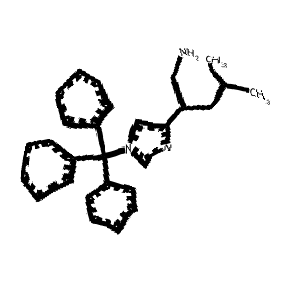 CC(C)CC(CN)c1cn(C(c2ccccc2)(c2ccccc2)c2ccccc2)cn1